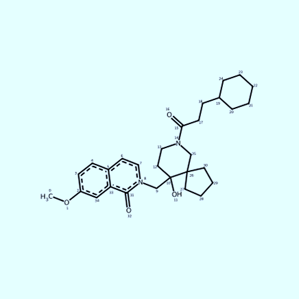 COc1ccc2ccn(CC3(O)CCN(C(=O)CCC4CCCCC4)CC34CCCC4)c(=O)c2c1